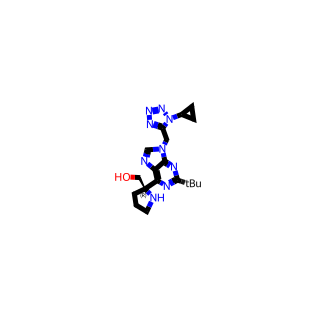 CC(C)(C)c1nc([C@@]2(CO)CCCN2)c2ncn(Cc3nnnn3C3CC3)c2n1